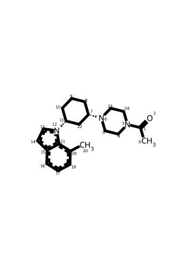 CC(=O)N1CCN([C@H]2CCC[C@@H](n3ccc4cccc(C)c43)C2)CC1